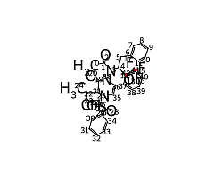 CC(=O)N(C(Cc1ccccc1)C(=O)C(F)(F)F)N1C(=O)C(C(C)C)N(S(=O)(=O)c2ccccc2)C=C1c1ccccc1